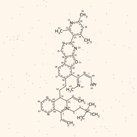 C=CC1=[N+](CC[Si](C)(C)C)C(C=C)C(CCc2ccc3c(oc4nc(-c5c(C)cc(C)nc5C)ccc43)c2C(/C=C\CCC)=N\C)c2ccccc21